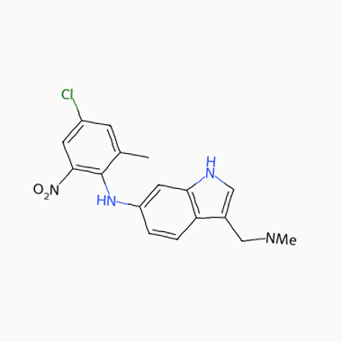 CNCc1c[nH]c2cc(Nc3c(C)cc(Cl)cc3[N+](=O)[O-])ccc12